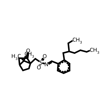 CCCCC(CC)Cc1ccccc1/C=N/S(=O)(=O)CC12CCC(CC1=O)C2(C)C